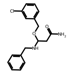 NC(=O)CC(NCc1ccccc1)OCc1cccc(Cl)c1